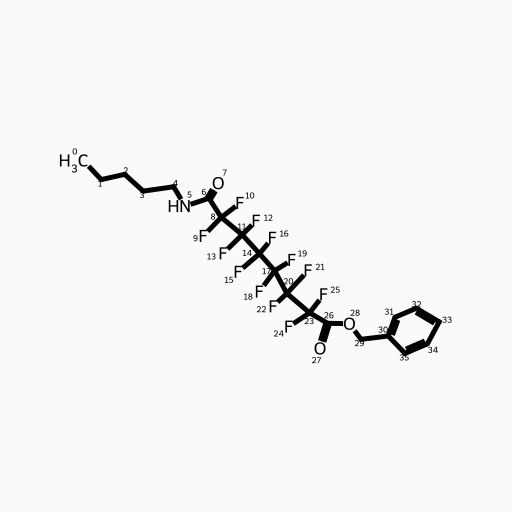 CCCCCNC(=O)C(F)(F)C(F)(F)C(F)(F)C(F)(F)C(F)(F)C(F)(F)C(=O)OCc1ccccc1